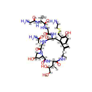 C=C1C[C@@H](C)NC(=O)[C@H]([C@@H](C)C(O)CO)NC(=O)C2C[C@@H](O)CN2C(=O)[C@H](CC(N)=O)NC(=O)C(NC(=O)CNC(=O)[C@@H](NC(=O)CN)[C@@H](C)CC)Cc2c1ccc(O)c2CSCCN